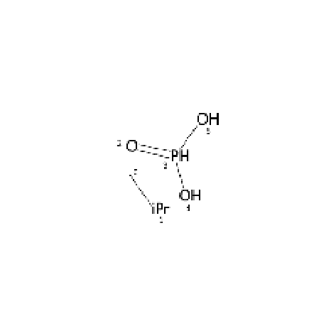 CC(C)C.O=[PH](O)O